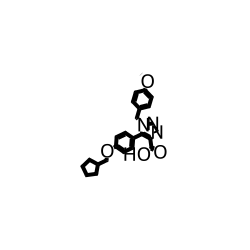 COc1ccc(Cn2nnc(C(=O)O)c2-c2ccc(OCC3CCCC3)cc2)cc1